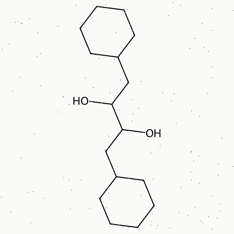 OC(CC1CCCCC1)C(O)CC1CCCCC1